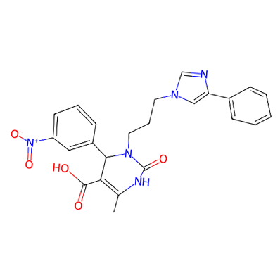 CC1=C(C(=O)O)C(c2cccc([N+](=O)[O-])c2)N(CCCn2cnc(-c3ccccc3)c2)C(=O)N1